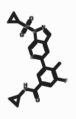 Cc1c(F)cc(C(=O)NC2CC2)cc1-c1cc2cnn(S(=O)(=O)C3CC3)c2cn1